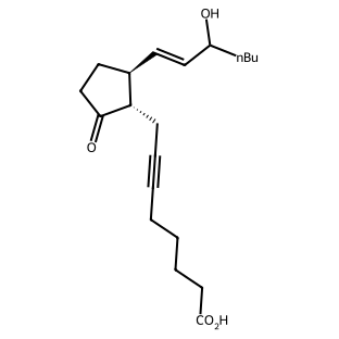 CCCCC(O)C=C[C@@H]1CCC(=O)[C@H]1CC#CCCCCC(=O)O